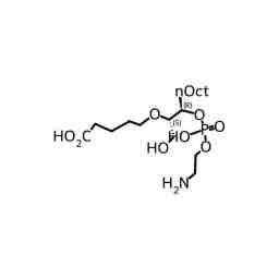 CCCCCCCC[C@@H](OP(=O)(O)OCCN)[C@H](CO)OCCCCC(=O)O